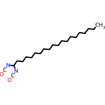 CCCCCCCCCCCCCCCCCCCC(N=C=O)N=C=O